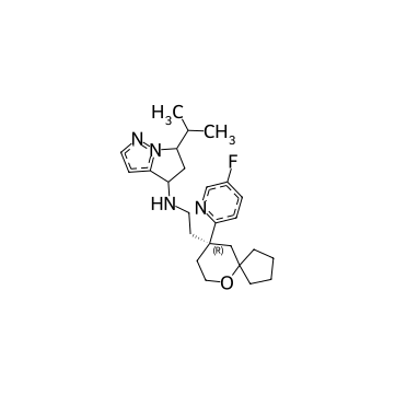 CC(C)C1CC(NCC[C@@]2(c3ccc(F)cn3)CCOC3(CCCC3)C2)c2ccnn21